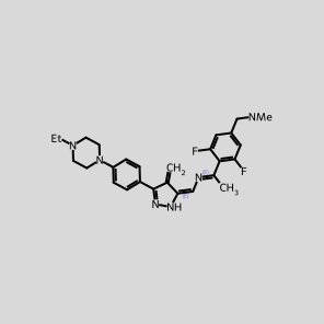 C=c1c(-c2ccc(N3CCN(CC)CC3)cc2)n[nH]/c1=C/N=C(\C)c1c(F)cc(CNC)cc1F